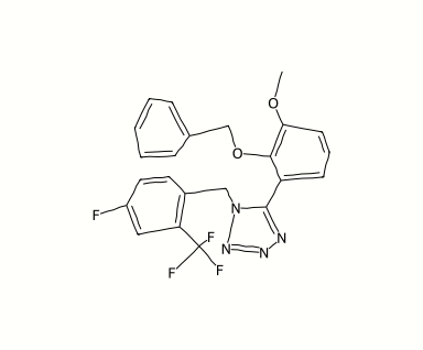 COc1cccc(-c2nnnn2Cc2ccc(F)cc2C(F)(F)F)c1OCc1ccccc1